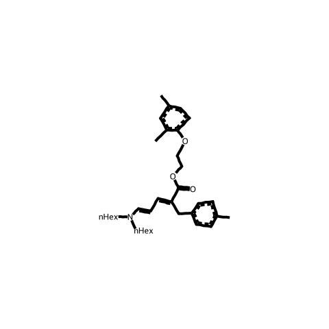 CCCCCCN(/C=C/C=C(\Cc1ccc(C)cc1)C(=O)OCCOc1ccc(C)cc1C)CCCCCC